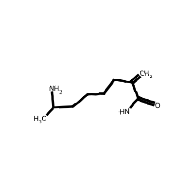 C=C(CCCCC(C)N)C([NH])=O